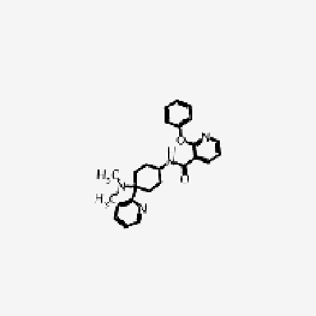 CN(C)C1(c2ccccn2)CCC(NC(=O)c2cccnc2Oc2ccccc2)CC1